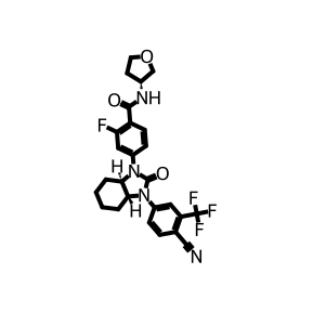 N#Cc1ccc(N2C(=O)N(c3ccc(C(=O)N[C@@H]4CCOC4)c(F)c3)[C@@H]3CCCC[C@H]32)cc1C(F)(F)F